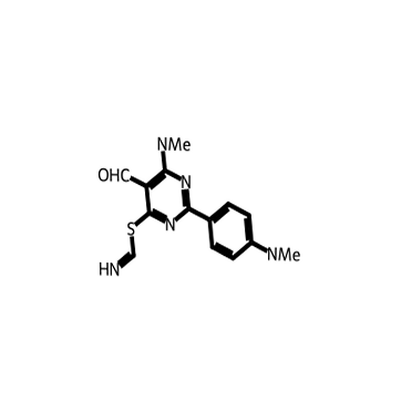 CNc1ccc(-c2nc(NC)c(C=O)c(SC=N)n2)cc1